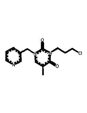 Cc1cn(Cc2cccnc2)c(=O)n(CCCCl)c1=O